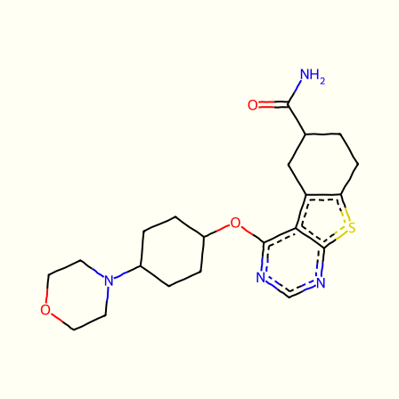 NC(=O)C1CCc2sc3ncnc(OC4CCC(N5CCOCC5)CC4)c3c2C1